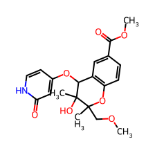 COCC1(C)Oc2ccc(C(=O)OC)cc2C(Oc2cc[nH]c(=O)c2)C1(C)O